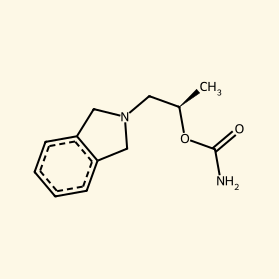 C[C@H](CN1Cc2ccccc2C1)OC(N)=O